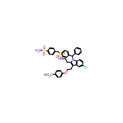 NS(=O)(=O)c1ccc(CS(=O)(=O)NCCc2c(CCOc3ccc(C(=O)O)cc3)c3cc(Cl)ccc3n2C(c2ccccc2)c2ccccc2)cc1